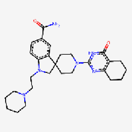 NC(=O)c1ccc2c(c1)C1(CCN(c3nc4c(c(=O)[nH]3)CCCC4)CC1)CN2CCN1CCCCC1